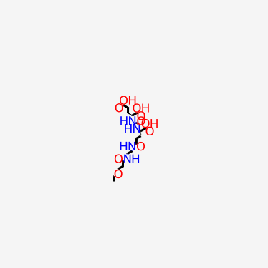 CCOCCC(=O)NCCNC(=O)CC[C@H](NC(=O)N[C@@H](CCC(=O)O)C(=O)O)C(=O)O